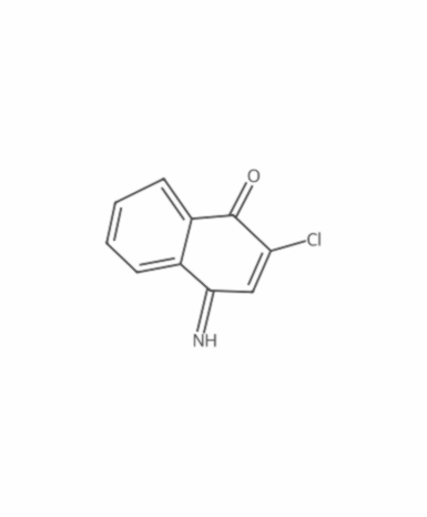 N=C1C=C(Cl)C(=O)c2ccccc21